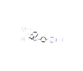 COC1=CC=C2N(c3ccc(N4CCN(C)CC4)c(F)c3)CCC(C)C23C=CN=C13